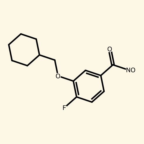 O=NC(=O)c1ccc(F)c(OCC2CCCCC2)c1